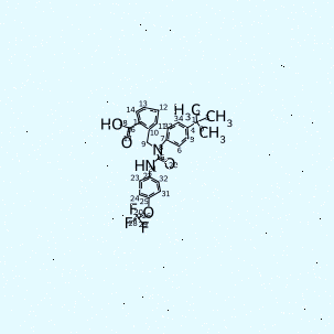 CC(C)(C)c1ccc(N(Cc2ccccc2C(=O)O)C(=O)Nc2ccc(OC(F)(F)F)cc2)cc1